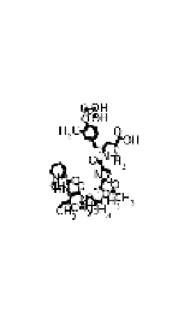 CC[C@H](C)[C@H](NC(=O)[C@H]1CCCCN1C)C(=O)N(C)[C@H](C[C@@H](OC(C)=O)c1nc(C(=O)N[C@@H](Cc2ccc(OP(=O)(O)O)c(C)c2)CC(C)C(=O)O)cs1)C(C)C